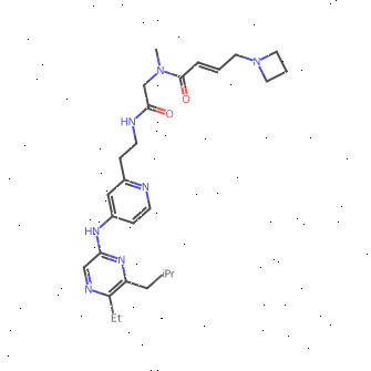 CCc1ncc(Nc2ccnc(CCNC(=O)CN(C)C(=O)/C=C/CN3CCC3)c2)nc1CC(C)C